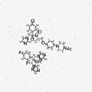 CC(=O)N1CCN(c2ccc(OCC3COC(Cn4ccnc4)(c4ccc(Cl)cc4Cl)O3)cc2)CC1.OC(Cn1cncn1)(Cn1cncn1)c1ccc(F)cc1F